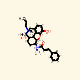 C=CCN1CC[C@]23c4c5ccc(O)c4OC2C(N(C)C(=O)/C=C/c2ccccc2)CC[C@@]3(O)[C@H]1C5